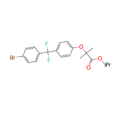 CC(C)OC(=O)C(C)(C)Oc1ccc(C(F)(F)c2ccc(Br)cc2)cc1